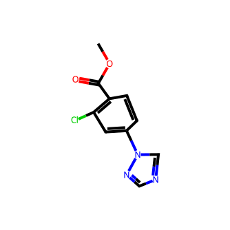 COC(=O)c1ccc(-n2cncn2)cc1Cl